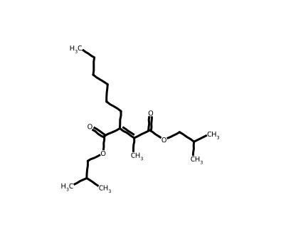 CCCCCCC(C(=O)OCC(C)C)=C(C)C(=O)OCC(C)C